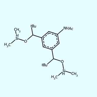 CC(=O)Nc1cc(C(O[SiH](C)C)C(C)(C)C)cc(C(O[SiH](C)C)C(C)(C)C)c1